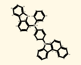 C1=CC(n2c3ccccc3c3c4ccccc4ccc32)CC=C1N(c1ccccc1)c1cccc2c1sc1ccccc12